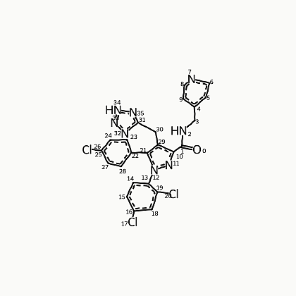 O=C(NCc1ccncc1)c1nn(-c2ccc(Cl)cc2Cl)c(-c2ccc(Cl)cc2)c1Cc1nn[nH]n1